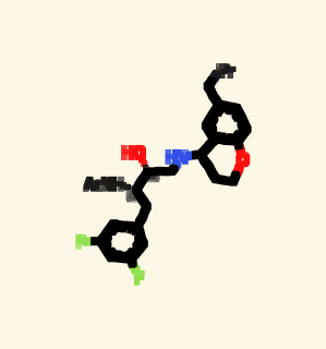 CC(=O)N[C@@H](Cc1cc(F)cc(F)c1)[C@H](O)CNC1CCOc2ccc(CC(C)C)cc21